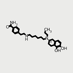 CCCN(CCCCCCNCCc1ccc(C(N)=O)cc1)[C@H]1CCc2c(ccc(O)c2O)C1